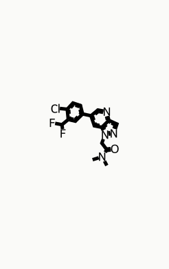 CN(C)C(=O)Cn1ncc2ncc(-c3ccc(Cl)c(C(F)F)c3)cc21